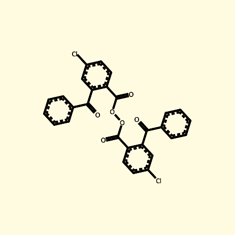 O=C(OOC(=O)c1ccc(Cl)cc1C(=O)c1ccccc1)c1ccc(Cl)cc1C(=O)c1ccccc1